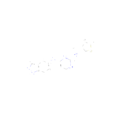 c1cc(Nc2ccc3[nH]ncc3c2)nc(N2Cc3ccsc3C2)n1